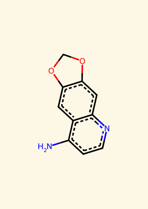 Nc1ccnc2cc3c(cc12)OCO3